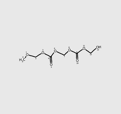 COCOC(=O)OCOC(=O)OCO